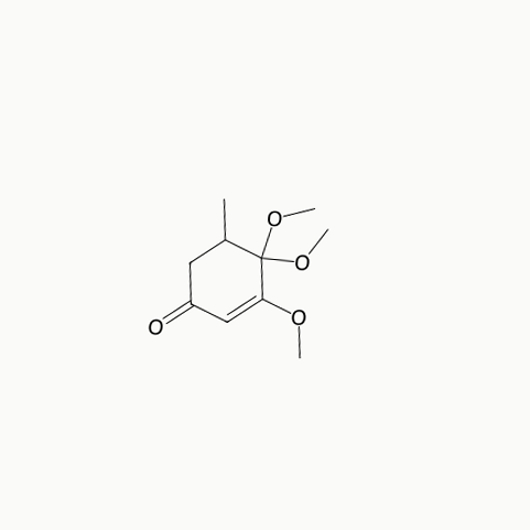 COC1=CC(=O)CC(C)C1(OC)OC